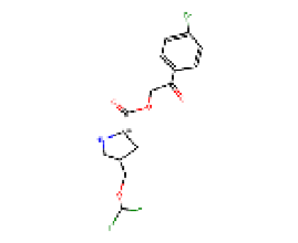 O=C(COC(=O)[C@@H]1CC(COC(F)F)CN1)c1ccc(Br)cc1